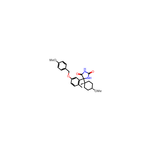 COc1ccc(COc2ccc(C)c(C3([C@]4(C)CC[C@@H](OC)CC4)NC(=O)NC3=O)c2)cc1